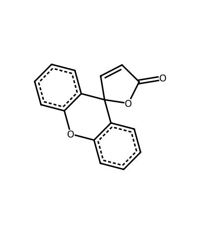 O=C1C=CC2(O1)c1ccccc1Oc1ccccc12